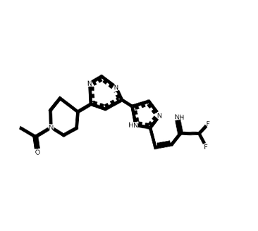 CC(=O)N1CCC(c2cc(-c3cnc(/C=C\C(=N)C(F)F)[nH]3)ncn2)CC1